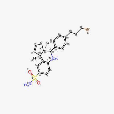 NS(=O)(=O)c1ccc2c(c1)[C@H]1C=CC[C@H]1[C@@H](c1ccc(CCCBr)cc1)N2